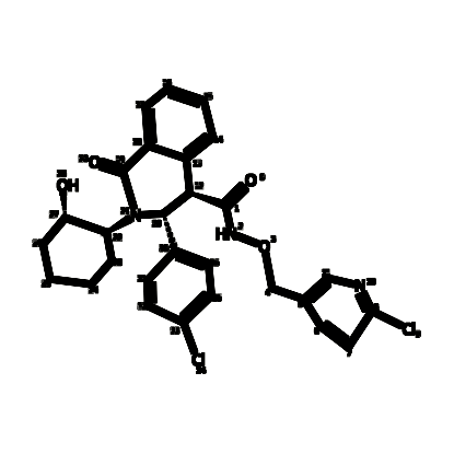 O=C(NOCc1ccc(Cl)nc1)[C@@H]1c2ccccc2C(=O)N([C@H]2CCCC[C@@H]2O)[C@H]1c1ccc(Cl)cc1